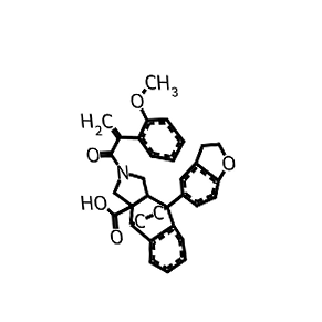 C=C(C(=O)N1CC2C3(c4ccc5c(c4)CCO5)CCC(c4ccccc43)C2(C(=O)O)C1)c1ccccc1OC